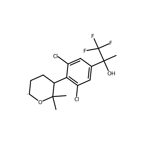 CC1(C)O[CH]CCC1c1c(Cl)cc(C(C)(O)C(F)(F)F)cc1Cl